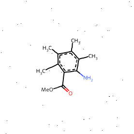 COC(=O)c1c(C)c(C)c(C)c(C)c1N